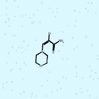 CCC(=CN1CCOCC1)C(N)=O